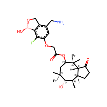 CC[C@]1(C)C[C@@H](OC(=O)COc2cc(CN)c3c(c2F)B(O)OC3)[C@](C)(C(C)C)[C@@H]2C(=O)CC[C@@]2(C)[C@@H](C)[C@@H]1O